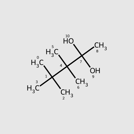 CC(C)(C)C(C)(C)C(C)(O)O